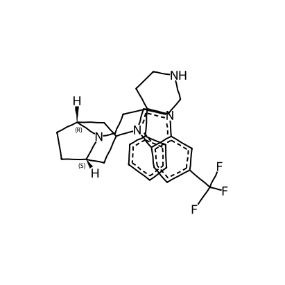 FC(F)(F)c1ccc2c(c1)ncn2C1C[C@H]2CC[C@@H](C1)N2CCC1(c2ccccc2)CCNCC1